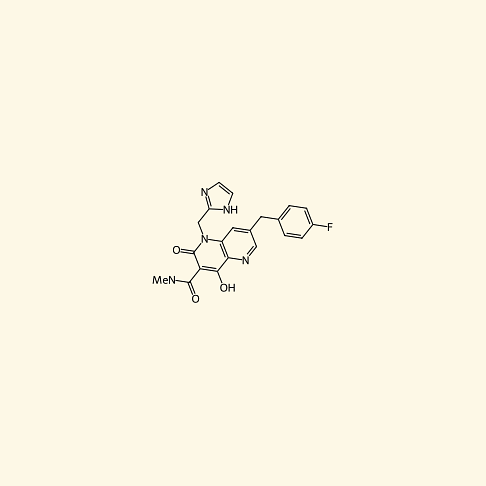 CNC(=O)c1c(O)c2ncc(Cc3ccc(F)cc3)cc2n(Cc2ncc[nH]2)c1=O